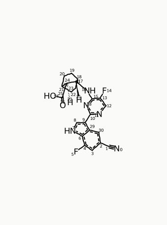 N#Cc1cc(F)c2[nH]cc(-c3ncc(F)c(N[C@H]4C5CCC(CC5)[C@@H]4C(=O)O)n3)c2c1